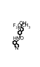 CC(O)(c1ccc2cc(C(=O)NCc3cccc4cnccc34)ccc2n1)C(F)(F)F